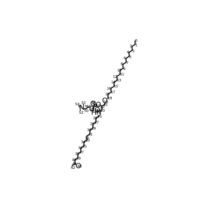 CCCCCCCCCCCCCCCCCCCCOCC(CNCCCCCCCCCCCCCCCCC(C)=O)OP(=O)([O-])OCC[N+](C)(C)C